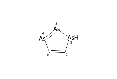 [C]1=C[AsH][As]=[As]1